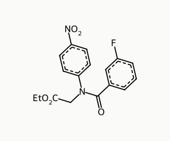 CCOC(=O)CN(C(=O)c1cccc(F)c1)c1ccc([N+](=O)[O-])cc1